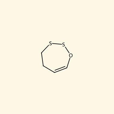 C1=COSSCC1